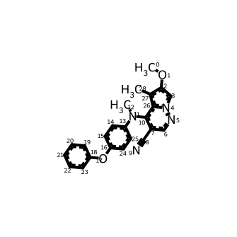 COc1cn2ncc(C#N)c(N(C)c3ccc(Oc4ccccc4)cc3)c2c1C